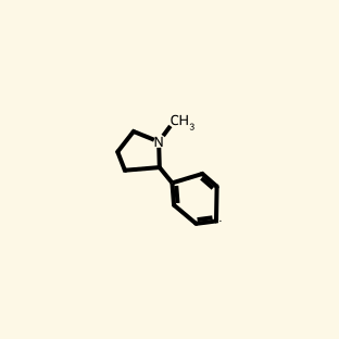 CN1CCCC1c1cc[c]cc1